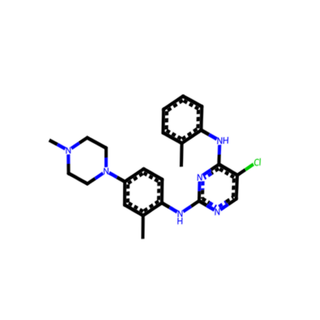 Cc1cc(N2CCN(C)CC2)ccc1Nc1ncc(Cl)c(Nc2ccccc2C)n1